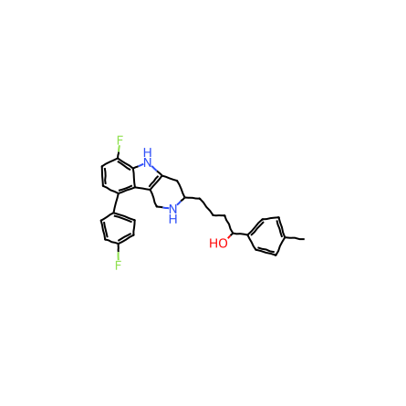 Cc1ccc(C(O)CCCC2Cc3[nH]c4c(F)ccc(-c5ccc(F)cc5)c4c3CN2)cc1